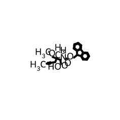 CC#CC[C@](C)(COC)[C@H](NC(=O)OCC1c2ccccc2-c2ccccc21)C(=O)O